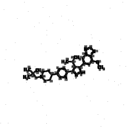 COc1cc(-c2[nH]nc(-c3ccc(C4CCN(CC(C)(C)C)CC4)cn3)c2C(C)C)cn2ncnc12